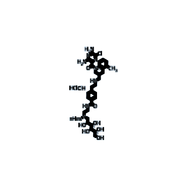 CCCCCCN(CCNC(=O)c1ccc(CCNCC(CNC(=O)c2nc(Cl)c(N)nc2N)Cc2ccccc2C)cc1)C[C@H](O)[C@@H](O)[C@H](O)[C@H](O)CO.Cl.Cl